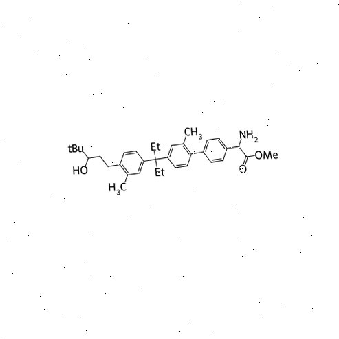 CCC(CC)(c1ccc(CCC(O)C(C)(C)C)c(C)c1)c1ccc(-c2ccc(C(N)C(=O)OC)cc2)c(C)c1